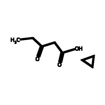 C1CC1.CCC(=O)CC(=O)O